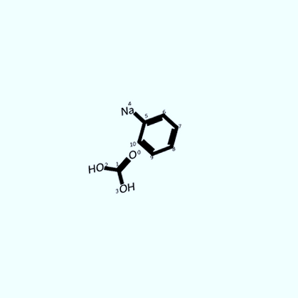 O=C(O)O.[Na][c]1ccccc1